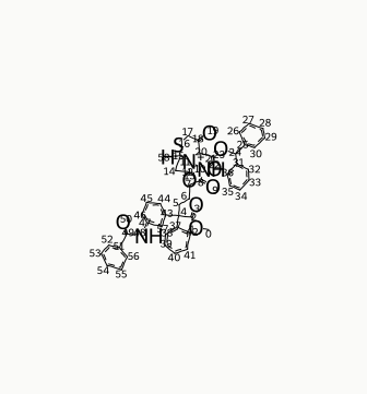 COC(=O)C(CCCC(=O)N[N+]12C(=O)C[C@@H]1SCC(=O)C2C(=O)OC(c1ccccc1)c1ccccc1)(c1ccccc1)c1cccc(NC(=O)c2ccccc2)c1